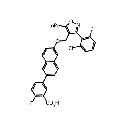 CCCc1onc(-c2c(Cl)cccc2Cl)c1COc1ccc2cc(-c3ccc(F)c(C(=O)O)c3)ccc2c1